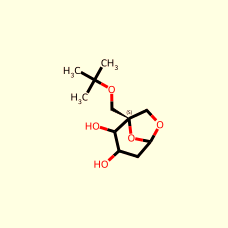 CC(C)(C)OC[C@]12COC(CC(O)C1O)O2